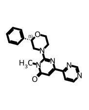 Cn1c(N2CCO[C@@H](c3ccccc3)C2)nc(-c2ccncn2)cc1=O